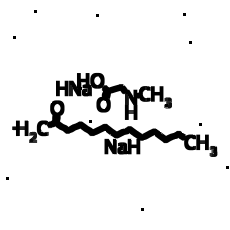 CNCC(=O)O.[CH2]C(=O)CCCCCCCCCCC.[NaH].[NaH]